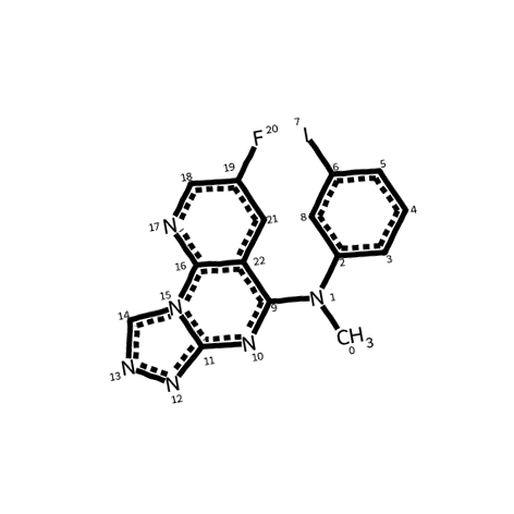 CN(c1cccc(I)c1)c1nc2nncn2c2ncc(F)cc12